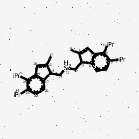 CC1=Cc2c(ccc(C(C)C)c2C(C)C)C1C[SiH2]CC1C(C)=Cc2c1ccc(C(C)C)c2C(C)C